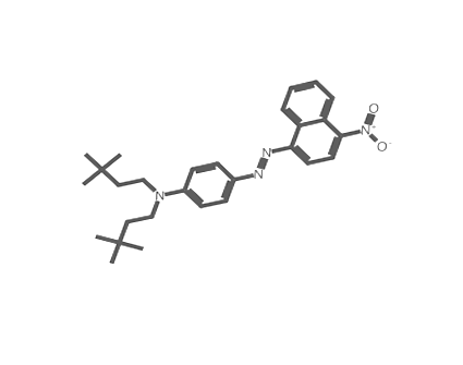 CC(C)(C)CCN(CCC(C)(C)C)c1ccc(N=Nc2ccc([N+](=O)[O-])c3ccccc23)cc1